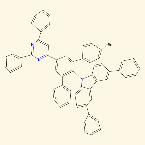 CC(C)(C)c1ccc(-c2cc(-c3cc(-c4ccccc4)nc(-c4ccccc4)n3)cc(-c3ccccc3)c2-n2c3ccc(-c4ccccc4)cc3c3cc(-c4ccccc4)ccc32)cc1